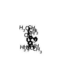 COc1cc2c(cc1NC(C)C)-c1c(-c3cccs3)cc(C(=O)NCC(C)(C)C)n1CC2